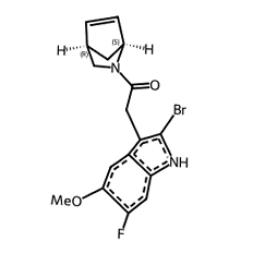 COc1cc2c(CC(=O)N3C[C@H]4C=C[C@@H]3C4)c(Br)[nH]c2cc1F